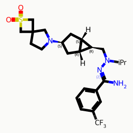 CC(C)N(C[C@H]1[C@@H]2C[C@@H](N3CCC4(C3)CS(=O)(=O)C4)C[C@@H]21)/N=C(\N)c1cccc(C(F)(F)F)c1